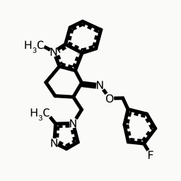 Cc1nccn1CC1CCc2c(c3ccccc3n2C)C1=NOCc1ccc(F)cc1